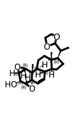 CC(C1OCCO1)[C@H]1CC[C@H]2[C@@H]3C=C[C@@]45O[C@@H]4[C@H](O)[C@@H]4O[C@@H]4[C@]5(C)[C@H]3CC[C@]12C